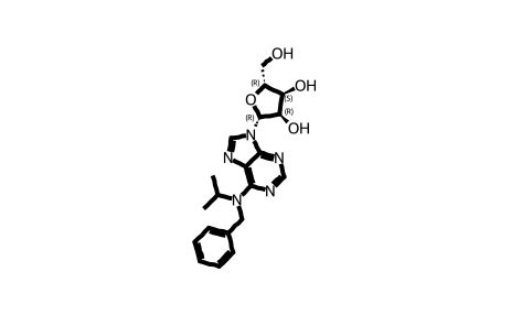 CC(C)N(Cc1ccccc1)c1ncnc2c1ncn2[C@@H]1O[C@H](CO)[C@@H](O)[C@H]1O